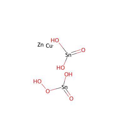 [Cu].[O]=[Sn]([OH])[OH].[O]=[Sn]([OH])[O]O.[Zn]